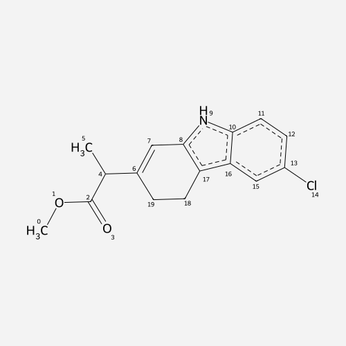 COC(=O)C(C)C1=Cc2[nH]c3ccc(Cl)cc3c2CC1